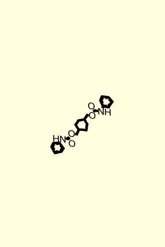 O=C(Nc1ccccc1)OCC1CCC(COC(=O)Nc2ccccc2)CC1